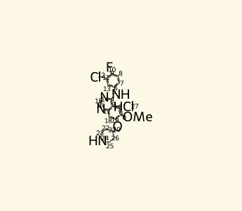 COc1cc2c(Nc3ccc(F)c(Cl)c3)ncnc2cc1OC1CCNCC1.Cl